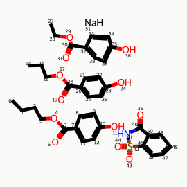 CCCCOC(=O)c1ccc(O)cc1.CCCOC(=O)c1ccc(O)cc1.CCOC(=O)c1ccc(O)cc1.O=C1NS(=O)(=O)c2ccccc21.[NaH]